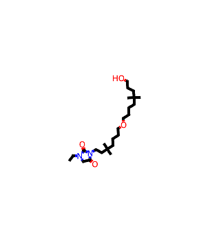 CCN1CC(=O)N(CCC(C)(C)CCCCOCCCCC(C)(C)CCCO)C1=O